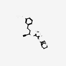 C#CC(CCc1cccc(OC)c1)Oc1nsnc1OC1CN2CCC1C2